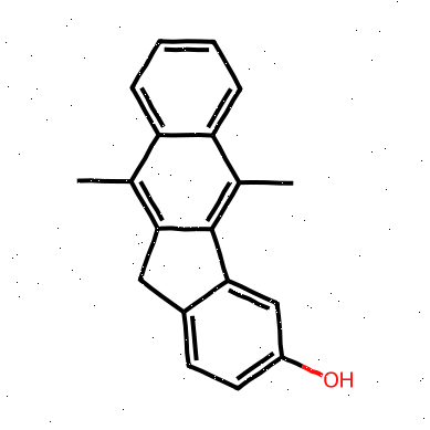 Cc1c2c(c(C)c3ccccc13)-c1cc(O)ccc1C2